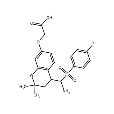 CC1(C)CC(C(N)S(=O)(=O)c2ccc(F)cc2)c2ccc(OCC(=O)O)cc2O1